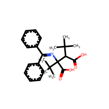 CC(C)(C)C(C(=O)O)C(N=C(c1ccccc1)c1ccccc1)(C(=O)O)C(C)(C)C